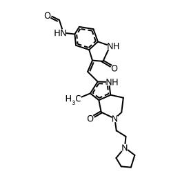 Cc1c(C=C2C(=O)Nc3ccc(NC=O)cc32)[nH]c2c1C(=O)N(CCN1CCCC1)CC2